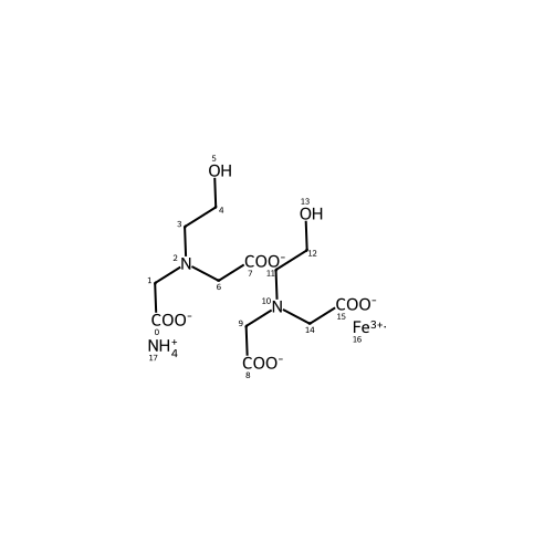 O=C([O-])CN(CCO)CC(=O)[O-].O=C([O-])CN(CCO)CC(=O)[O-].[Fe+3].[NH4+]